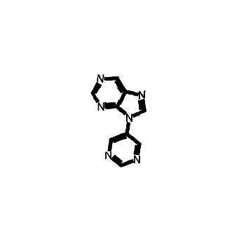 c1ncc(-n2cnc3cncnc32)cn1